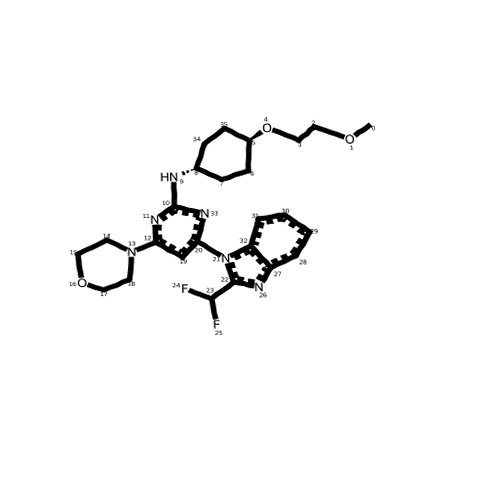 COCCO[C@H]1CC[C@H](Nc2nc(N3CCOCC3)cc(-n3c(C(F)F)nc4ccccc43)n2)CC1